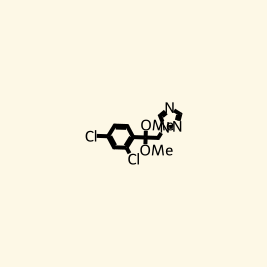 COC(Cn1cncn1)(OC)c1ccc(Cl)cc1Cl